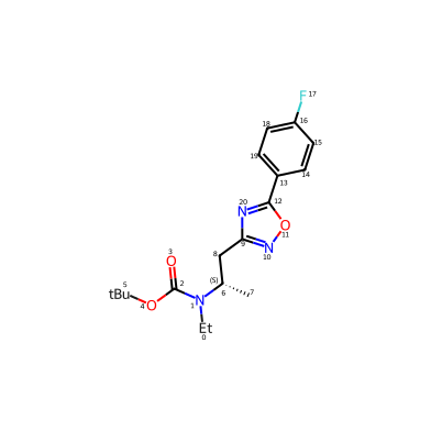 CCN(C(=O)OC(C)(C)C)[C@@H](C)Cc1noc(-c2ccc(F)cc2)n1